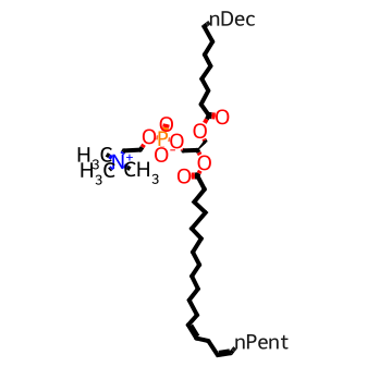 CCCCC/C=C\C/C=C\CCCCCCCCCCCC(=O)O[C@H](COC(=O)CCCCCCCCCCCCCCCCC)COP(=O)([O-])OCC[N+](C)(C)C